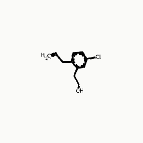 C=CCc1ccc(Cl)cc1CCO